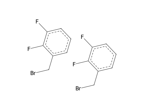 Fc1cccc(CBr)c1F.Fc1cccc(CBr)c1F